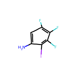 Nc1cc(F)c(F)c(F)c1I